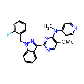 COc1cnc(-c2nn(Cc3ccccc3F)c3ccccc23)nc1N(C)c1ccncc1